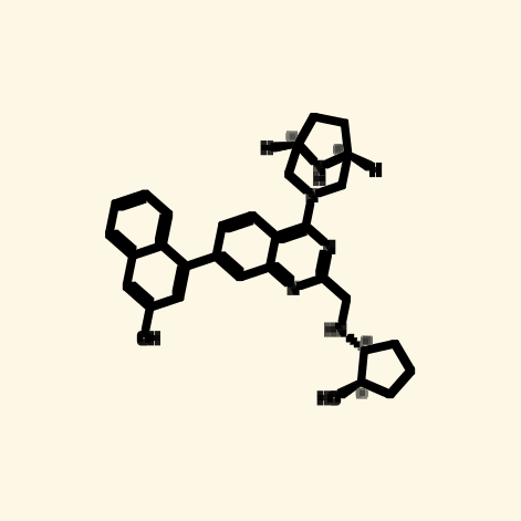 Oc1cc(-c2ccc3c(N4C[C@H]5CC[C@@H](C4)N5)nc(CN[C@@H]4CCC[C@H]4O)nc3c2)c2ccccc2c1